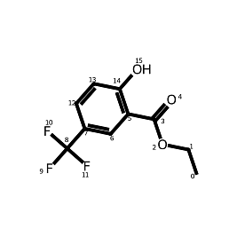 CCOC(=O)c1cc(C(F)(F)F)ccc1O